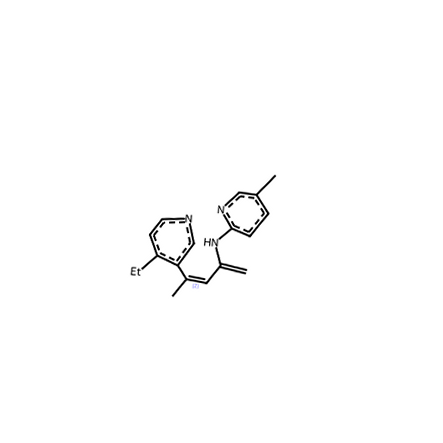 C=C(/C=C(/C)c1cnccc1CC)Nc1ccc(C)cn1